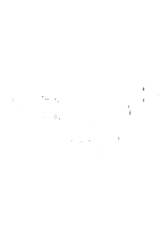 COC(=O)[C@H]1CCC[C@H](Oc2ccc(-n3cc(CO)nn3)cc2)C1